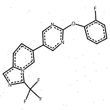 Fc1ccccc1Oc1ncc(-c2ccc3cnc(C(F)(F)F)n3c2)cn1